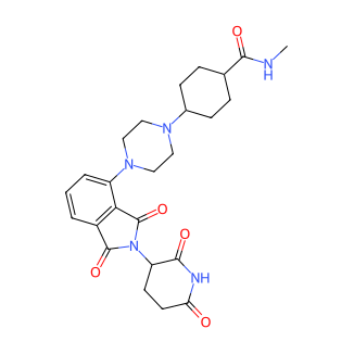 CNC(=O)C1CCC(N2CCN(c3cccc4c3C(=O)N(C3CCC(=O)NC3=O)C4=O)CC2)CC1